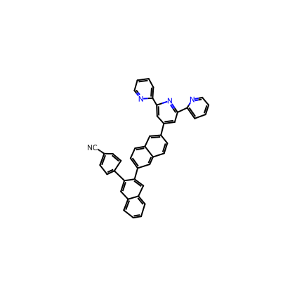 N#Cc1ccc(-c2cc3ccccc3cc2-c2ccc3cc(-c4cc(-c5ccccn5)nc(-c5ccccn5)c4)ccc3c2)cc1